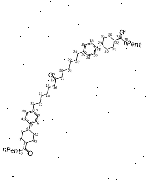 CCCCCC(=O)C1CCC(c2ccc(CCCCCCC(=O)CCCCCCc3ccc([C@H]4CC[C@H](C(=O)CCCCC)CC4)cc3)cc2)CC1